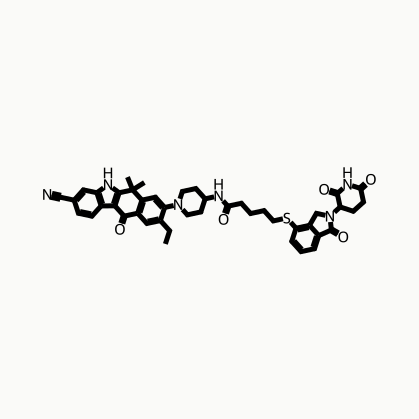 CCc1cc2c(cc1N1CCC(NC(=O)CCCCSc3cccc4c3CN(C3CCC(=O)NC3=O)C4=O)CC1)C(C)(C)c1[nH]c3cc(C#N)ccc3c1C2=O